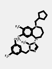 Cc1cc2c(cc1C(F)(F)F)N(CC1CCCC1)CCC[C@@H]2N1[C]=NN(Cc2cc(C(F)(F)F)cc(C(F)(F)F)c2)N1C